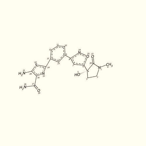 CN1CC[C@@](O)(c2cc(-c3cccc(-c4nc(C(N)=O)c(N)s4)c3)no2)C1=O